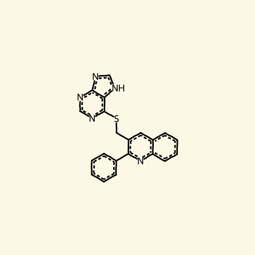 c1ccc(-c2nc3ccccc3cc2CSc2ncnc3nc[nH]c23)cc1